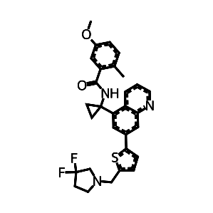 COc1ccc(C)c(C(=O)NC2(c3cc(-c4ccc(CN5CCC(F)(F)C5)s4)cc4ncccc34)CC2)c1